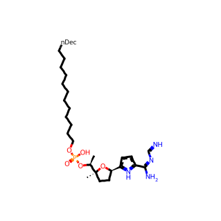 CCCCCCCCCCCCCCCCCCCCCCOP(=O)(O)O[C@@H](C)[C@]1(C)CC[C@H](c2ccc(/C(N)=N\C=N)[nH]2)O1